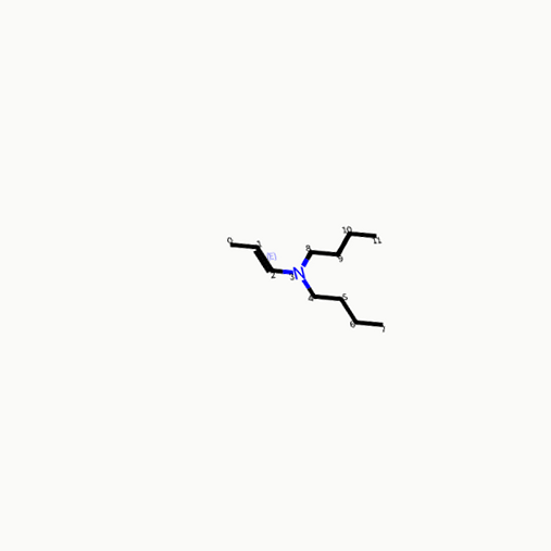 C/C=C/N(CCCC)CCCC